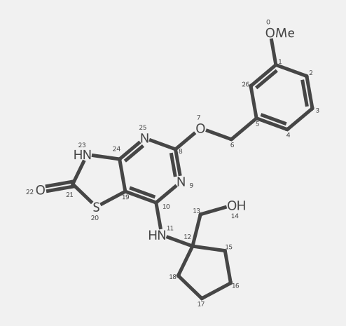 COc1cccc(COc2nc(NC3(CO)CCCC3)c3sc(=O)[nH]c3n2)c1